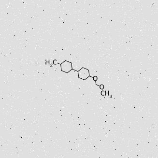 COCOC1CCC(C2CCC(C)CC2)CC1